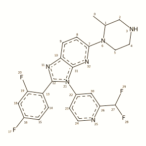 CC1CNCCN1c1ccc2nc(-c3ccc(F)cc3F)n(-c3ccnc(C(F)F)c3)c2n1